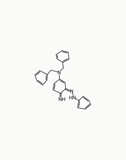 N=C1C=CC(N(Cc2ccccc2)Cc2ccccc2)=C/C1=N/Nc1ccccc1